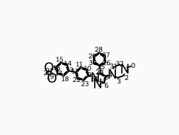 CN1CCN(c2cnn(-c3ccc(-c4ccc5c(c4)OCO5)cc3)c2-c2ccccc2)CC1